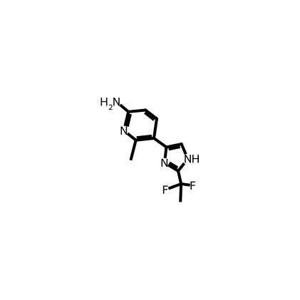 Cc1nc(N)ccc1-c1c[nH]c(C(C)(F)F)n1